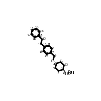 CCCC[C@H]1CC[C@H](CCc2ccc(CCc3ccccc3)cc2)CC1